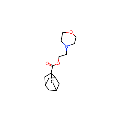 O=C(OCCN1CCOCC1)C12CC3CC(CC1C3)C2